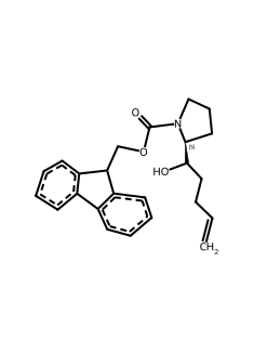 C=CCCC(O)[C@@H]1CCCN1C(=O)OCC1c2ccccc2-c2ccccc21